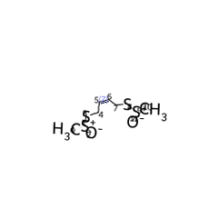 C[S+]([O-])SC/C=C\CS[S+](C)[O-]